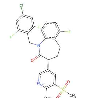 COc1ncc([C@H]2CCc3c(F)cccc3N(Cc3c(F)cc(Cl)cc3F)C2=O)cc1S(C)(=O)=O